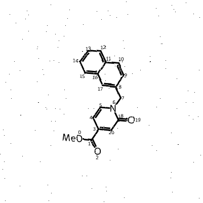 COC(=O)c1ccn(Cc2ccc3ccccc3c2)c(=O)c1